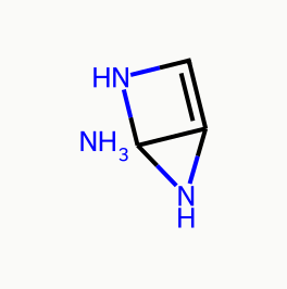 C1=C2NC2N1.N